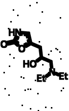 CCN(CC)CC(O)Cc1c[nH]c(=O)o1